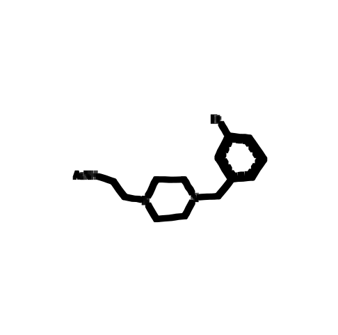 CCc1cccc(CN2CCN(CCNC(C)=O)CC2)c1